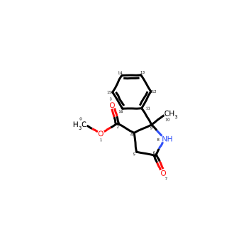 COC(=O)C1CC(=O)NC1(C)c1ccccc1